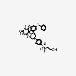 O=C1NC(=O)C(c2ccc(Oc3ccccc3)cc2)(N2CCN(c3ccc(S(=O)(=O)NCCO)cc3)CC2)C(=O)N1